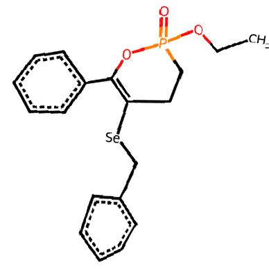 CCOP1(=O)CCC([Se]Cc2ccccc2)=C(c2ccccc2)O1